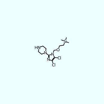 C[Si](C)(C)CCOCn1c(N2CCNCC2)nc(Cl)c1Cl